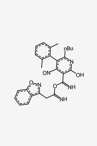 CCCCc1nc(O)c(C(=N)OC(=N)Cc2noc3ccccc23)c(N=O)c1-c1c(C)cccc1C